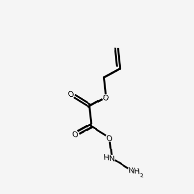 C=CCOC(=O)C(=O)ONN